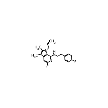 C=CCn1c(C)c(C)c2cc(Cl)nc(NCCc3ccc(F)cc3)c21